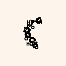 CC1(N2CCC(c3cc4cc(NC(=O)C5CC5c5cncnc5)ncc4cc3Cl)CC2)COCC1O